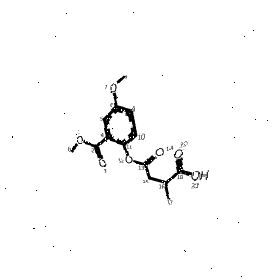 COC(=O)c1cc(OC)ccc1OC(=O)CC(C)C(=O)O